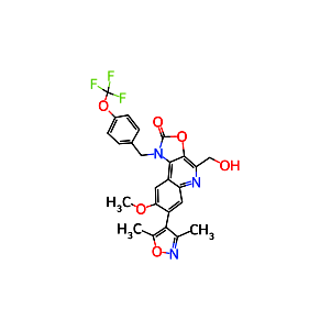 COc1cc2c(cc1-c1c(C)noc1C)nc(CO)c1oc(=O)n(Cc3ccc(OC(F)(F)F)cc3)c12